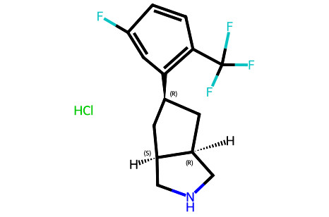 Cl.Fc1ccc(C(F)(F)F)c([C@H]2C[C@H]3CNC[C@H]3C2)c1